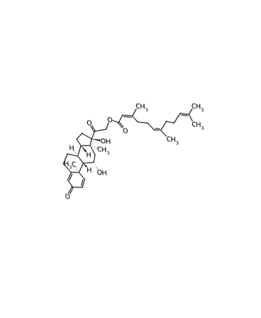 CC(C)=CCCC(C)=CCCC(C)=CC(=O)OCC(=O)[C@@]1(O)CC[C@H]2[C@@H]3CCC4=CC(=O)C=C[C@]4(C)[C@H]3[C@@H](O)C[C@@]21C